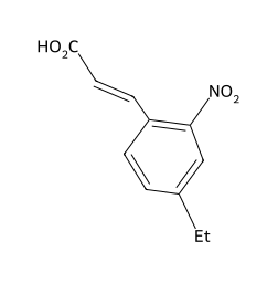 CCc1ccc(/C=C/C(=O)O)c([N+](=O)[O-])c1